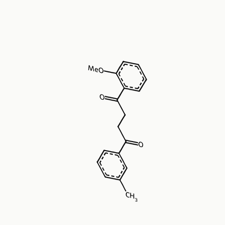 COc1ccccc1C(=O)CCC(=O)c1cccc(C)c1